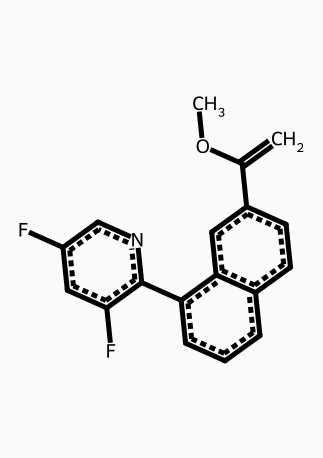 C=C(OC)c1ccc2cccc(-c3ncc(F)cc3F)c2c1